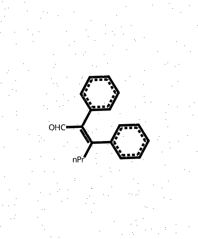 CCCC(=C(C=O)c1ccccc1)c1ccccc1